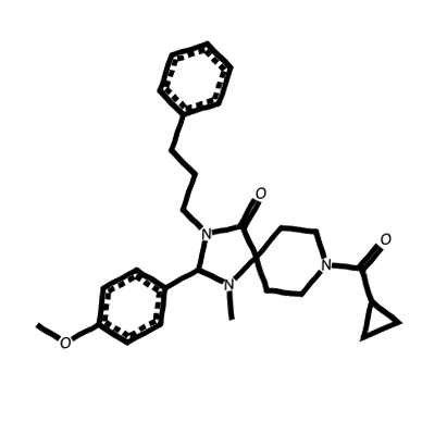 COc1ccc(C2N(CCCc3ccccc3)C(=O)C3(CCN(C(=O)C4CC4)CC3)N2C)cc1